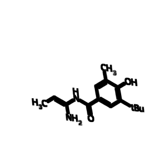 CC=C(N)NC(=O)c1cc(C)c(O)c(C(C)(C)C)c1